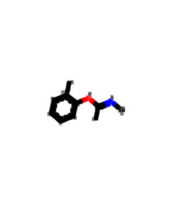 CC/N=C(\C)Oc1ccccc1C